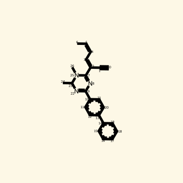 C#C/C(=C\C=C/C)C1=NC(c2ccc(-c3ccccc3)cc2)=NC(C)N1C